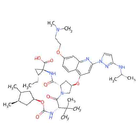 CC[C@@H]1C[C@]1(NC(=O)[C@@H]1C[C@@H](Oc2cc(-n3ccc(NC(C)C)n3)nc3cc(OCCN(C)C)ccc23)CN1C(=O)[C@@H](NC(=O)O[C@@H]1CC(C)[C@H](C)C1)C(C)(C)C)C(=O)O